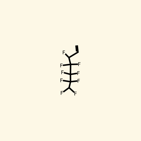 C=CC(F)C(F)(F)C(F)(F)C(F)(F)C(F)F